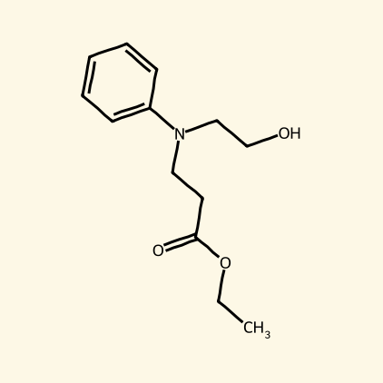 CCOC(=O)CCN(CCO)c1ccccc1